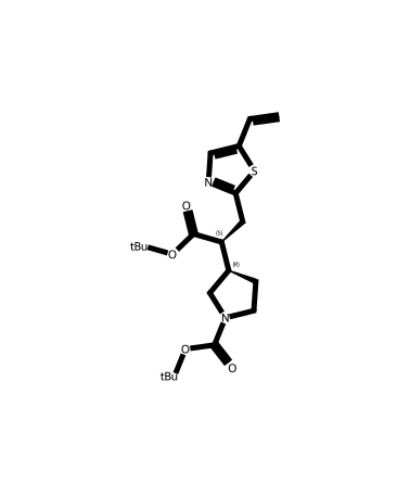 C=Cc1cnc(C[C@H](C(=O)OC(C)(C)C)[C@H]2CCN(C(=O)OC(C)(C)C)C2)s1